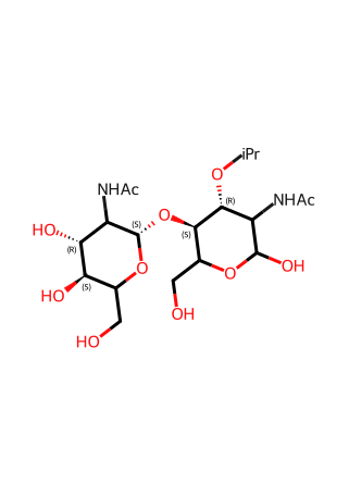 CC(=O)NC1[C@H](O[C@@H]2C(CO)OC(O)C(NC(C)=O)[C@H]2OC(C)C)OC(CO)[C@@H](O)[C@@H]1O